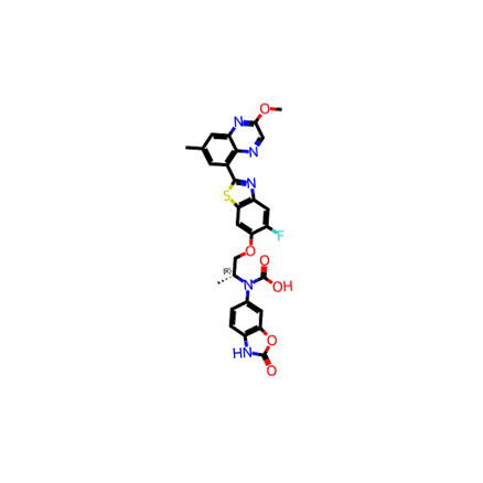 COc1cnc2c(-c3nc4cc(F)c(OC[C@@H](C)N(C(=O)O)c5ccc6[nH]c(=O)oc6c5)cc4s3)cc(C)cc2n1